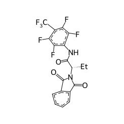 CC[C@@H](C(=O)Nc1c(F)c(F)c(C(F)(F)F)c(F)c1F)N1C(=O)c2ccccc2C1=O